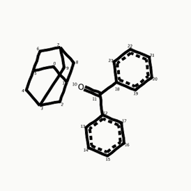 C1C2CC3CC1CC(C2)C3.O=C(c1ccccc1)c1ccccc1